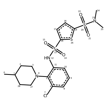 CC1CCN(c2c(Cl)cccc2NS(=O)(=O)c2ccc(S(=O)(=O)N(C)C)s2)CC1